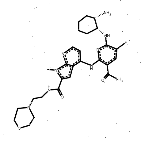 Cn1c(C(=O)NCCN2CCOCC2)cc2c(Nc3nc(N[C@@H]4CCCC[C@@H]4N)c(F)cc3C(N)=O)ccnc21